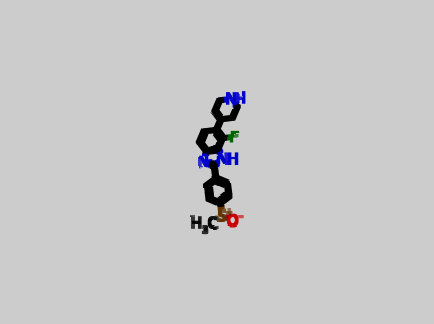 C[S+]([O-])c1ccc(-c2nc3ccc(C4CCNCC4)c(F)c3[nH]2)cc1